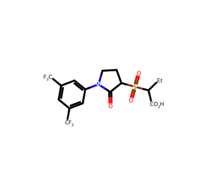 CCC(C(=O)O)S(=O)(=O)C1CCN(c2cc(C(F)(F)F)cc(C(F)(F)F)c2)C1=O